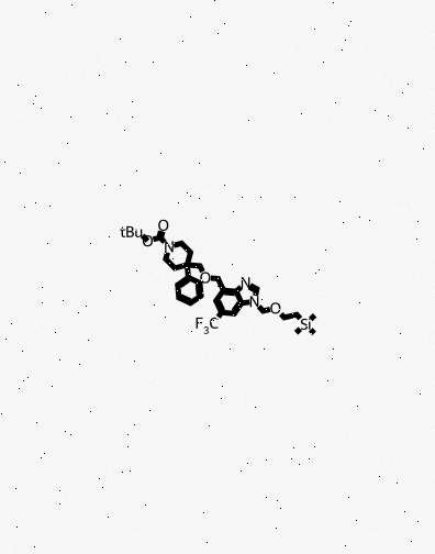 CC(C)(C)OC(=O)N1CCC(COCc2cc(C(F)(F)F)cc3c2ncn3COCC[Si](C)(C)C)(c2ccccc2)CC1